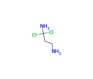 NCCC(N)(Cl)Cl